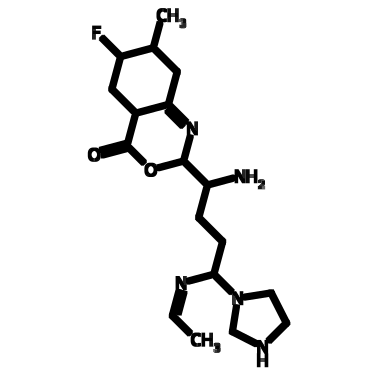 C/C=N\C(CCC(N)C1N=C2CC(C)C(F)CC2C(=O)O1)N1CCNC1